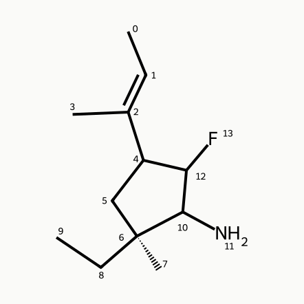 C/C=C(\C)C1C[C@](C)(CC)C(N)C1F